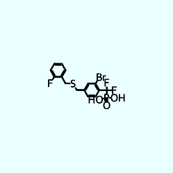 O=P(O)(O)C(F)(F)c1ccc(CSCc2ccccc2F)cc1Br